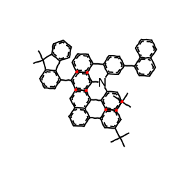 CC(C)(C)c1cc(-c2cccc3cccc(-c4ccccc4N(c4ccc(-c5cccc6c5-c5ccccc5C6(C)C)cc4)c4cc(-c5cccc6ccccc56)ccc4-c4ccccc4)c23)cc(C(C)(C)C)c1